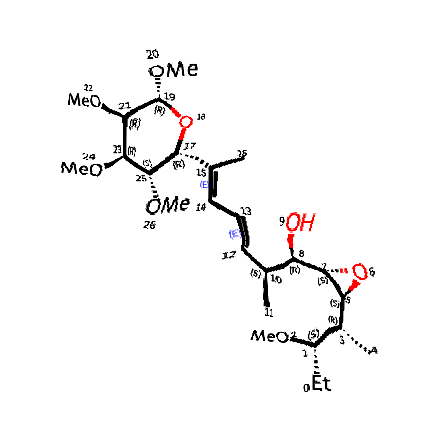 CC[C@H](OC)[C@@H](C)[C@@H]1O[C@H]1[C@H](O)[C@@H](C)/C=C/C=C(\C)[C@H]1O[C@@H](OC)[C@H](OC)[C@H](OC)[C@H]1OC